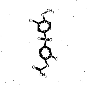 COc1ccc(S(=O)(=O)c2ccc(OC(C)=O)c(Cl)c2)cc1Cl